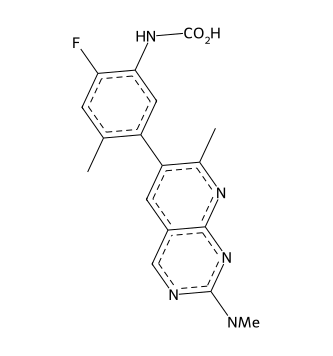 CNc1ncc2cc(-c3cc(NC(=O)O)c(F)cc3C)c(C)nc2n1